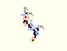 Cc1cn2nc(COC(F)(F)F)cc2c(Nc2cc([C@@H]3OC[C@H](OC(=O)NC(C)C)[C@@H]3F)[nH]n2)n1